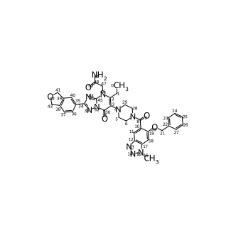 CCc1c(N2CCN(C(=O)c3cc4nnn(C)c4cc3OCc3ccccc3)CC2)c(=O)n2nc(-c3ccc4c(c3)COC4)nc2n1CC(N)=O